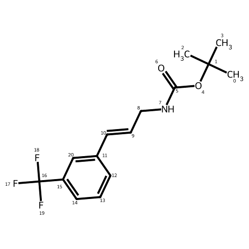 CC(C)(C)OC(=O)NCC=Cc1cccc(C(F)(F)F)c1